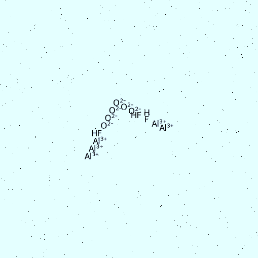 F.F.F.[Al+3].[Al+3].[Al+3].[Al+3].[Al+3].[O-2].[O-2].[O-2].[O-2].[O-2].[O-2]